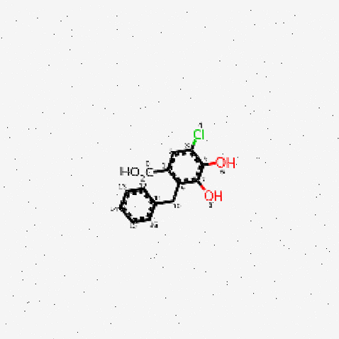 O=C(O)c1cc(Cl)c(O)c(O)c1Cc1ccccc1